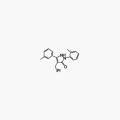 Cc1cccc(-c2[nH]n(-c3ccccc3C)c(=O)c2CC(C)C)c1